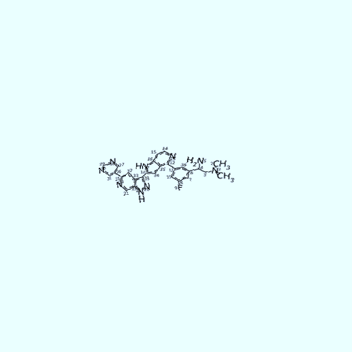 CN(C)CC(N)c1cc(F)cc(-c2nccc3[nH]c(-c4n[nH]c5cnc(-c6cncnc6)cc45)cc23)c1